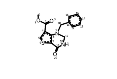 COC(=O)c1csc2c1N(Cc1ccccc1)CNC2=O